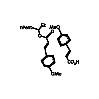 CCCCCC(CC)OC(=O)C=Cc1ccc(OC)cc1.COc1ccc(C=CC(=O)O)cc1